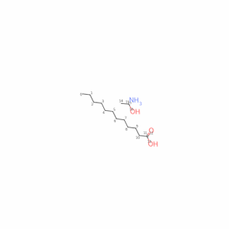 CCCCCCCCCCCC(=O)O.CCO.N